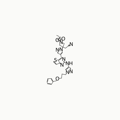 CCS(=O)(=O)N1CC(CC#N)(n2cc(-c3nc(Nc4cnn(CCCOCc5ccccc5)c4)nc4ccsc34)cn2)C1